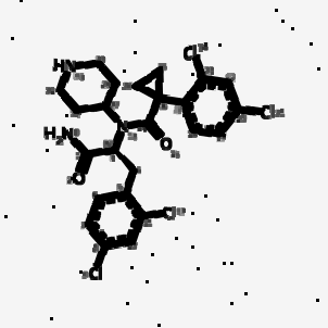 NC(=O)[C@H](Cc1ccc(Cl)cc1Cl)N(C(=O)C1(c2ccc(Cl)cc2Cl)CC1)C1CCNCC1